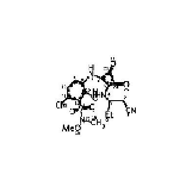 CCC(CC#N)Nc1c(Nc2ccc(Cl)c(S(=O)(=O)N(C)OC)c2O)c(=O)c1=O